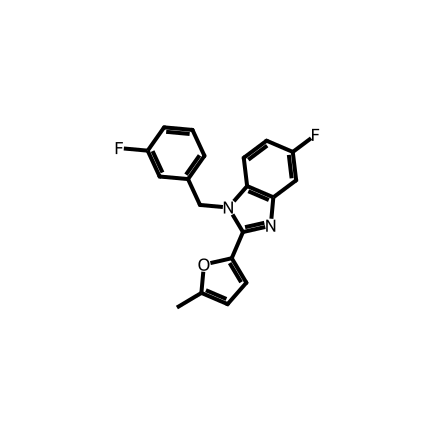 Cc1ccc(-c2nc3cc(F)ccc3n2Cc2cccc(F)c2)o1